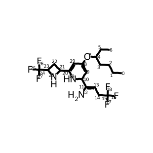 CCCCC(CC)OC1=CC(/C(N)=C/CC(F)(F)F)NC(C2CC(C(F)(F)F)N2)=C1